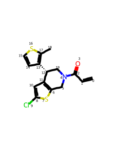 C=CC(=O)N1Cc2sc(Cl)cc2[C@H](c2ccsc2C)C1